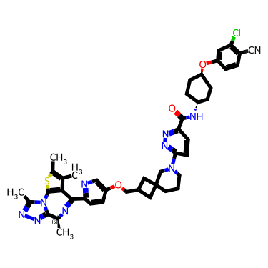 Cc1sc2c(c1C)C(c1ccc(OCC3CC4(CCCN(c5ccc(C(=O)N[C@H]6CC[C@H](Oc7ccc(C#N)c(Cl)c7)CC6)nn5)C4)C3)cn1)=N[C@@H](C)c1nnc(C)n1-2